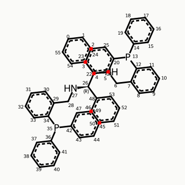 c1ccc([C@@H](NCc2ccccc2P(c2ccccc2)c2ccccc2)[C@H](NCc2ccccc2P(c2ccccc2)c2ccccc2)c2ccccc2)cc1